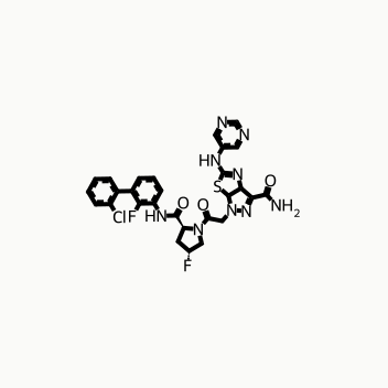 NC(=O)C1=NN(CC(=O)N2C[C@H](F)C[C@H]2C(=O)Nc2cccc(-c3ccccc3Cl)c2F)C2SC(Nc3cncnc3)=NC12